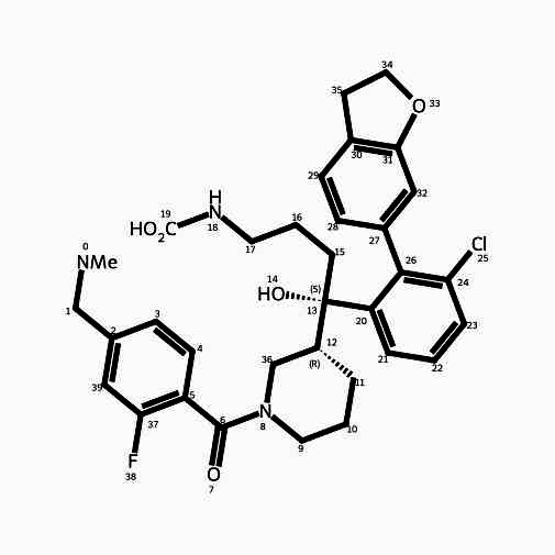 CNCc1ccc(C(=O)N2CCC[C@@H]([C@@](O)(CCCNC(=O)O)c3cccc(Cl)c3-c3ccc4c(c3)OCC4)C2)c(F)c1